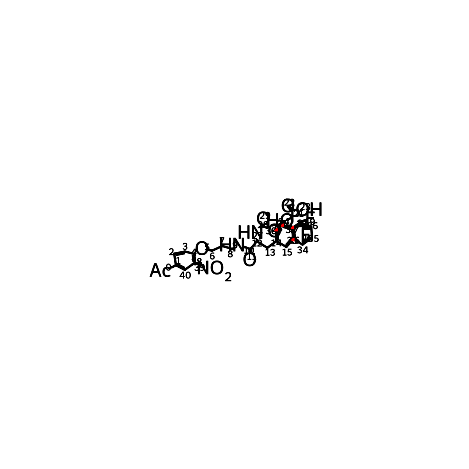 CC(=O)c1ccc(OCCCNC(=O)C(Cc2ccc(C(F)(F)P(=O)(O)O)cc2)NC(=O)OCc2ccccc2)c([N+](=O)[O-])c1